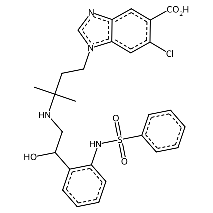 CC(C)(CCn1cnc2cc(C(=O)O)c(Cl)cc21)NCC(O)c1ccccc1NS(=O)(=O)c1ccccc1